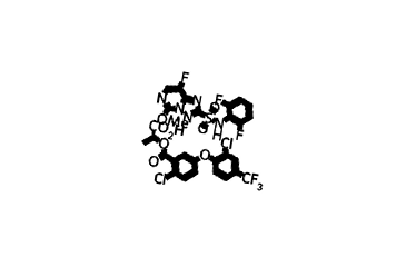 COc1ncc(F)c2nc(S(=O)(=O)Nc3c(F)cccc3F)nn12.C[C@H](OC(=O)c1cc(Oc2ccc(C(F)(F)F)cc2Cl)ccc1Cl)C(=O)O